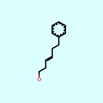 [O]CC/C=C/CCc1ccccc1